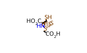 O=C(O)CSN[C@@H](CS)C(=O)O.S.S